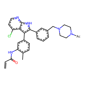 C=CC(=O)Nc1cc(-c2c(-c3cccc(CN4CCN(C(C)=O)CC4)c3)[nH]c3nccc(Cl)c23)ccc1C